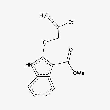 C=C(CC)COc1[nH]c2ccccc2c1C(=O)OC